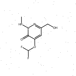 CPn1nc(CO)cc(OC(F)F)c1=O